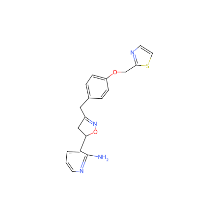 Nc1ncccc1C1CC(Cc2ccc(OCc3nccs3)cc2)=NO1